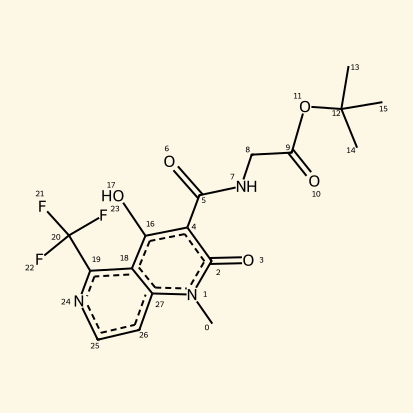 Cn1c(=O)c(C(=O)NCC(=O)OC(C)(C)C)c(O)c2c(C(F)(F)F)nccc21